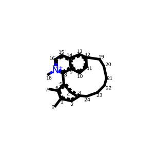 Cc1cc2cc(c1C)-c1c3ccc(cc3cc[n+]1C)CCCCCC2